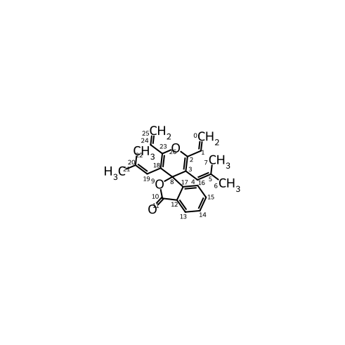 C=CC1=C(C=C(C)C)C2(OC(=O)c3ccccc32)C(C=C(C)C)=C(C=C)O1